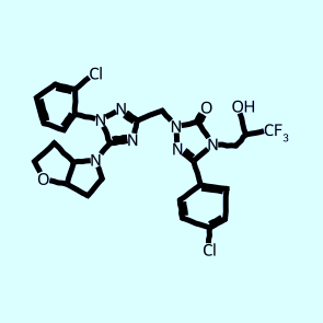 O=c1n(Cc2nc(N3CCC4OCCC43)n(-c3ccccc3Cl)n2)nc(-c2ccc(Cl)cc2)n1CC(O)C(F)(F)F